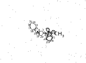 COn1c(=O)n(C2CCN(CC3CCCCCCC3)CC2)c2ccccc21